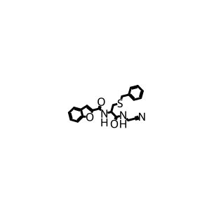 N#CCNC(=O)C(CSCc1ccccc1)NC(=O)c1cc2ccccc2o1